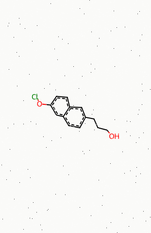 OCCCc1ccc2cc(OCl)ccc2c1